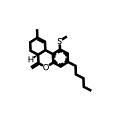 C=C1Oc2cc(CCCCC)cc(SC)c2C2C=C(C)CC[C@@H]12